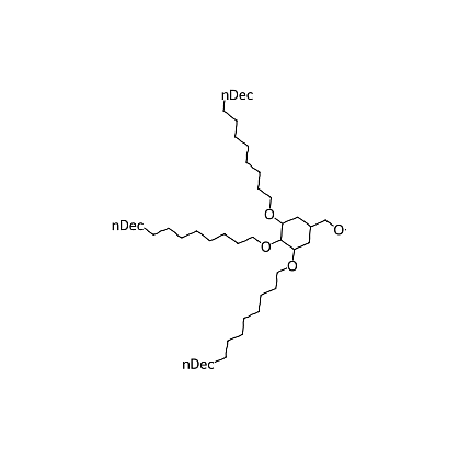 CCCCCCCCCCCCCCCCCCOC1CC(C[O])CC(OCCCCCCCCCCCCCCCCCC)C1OCCCCCCCCCCCCCCCCCC